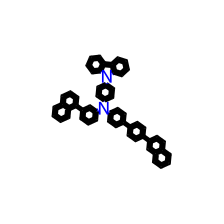 c1cc(-c2cccc3ccccc23)cc(N(c2ccc(-c3ccc(-c4ccc5ccccc5c4)cc3)cc2)c2ccc(-n3c4ccccc4c4ccccc43)cc2)c1